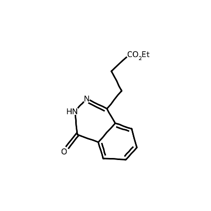 CCOC(=O)CCc1n[nH]c(=O)c2ccccc12